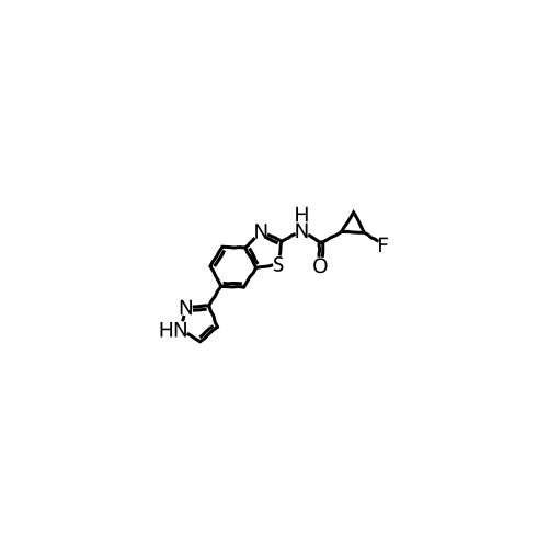 O=C(Nc1nc2ccc(-c3cc[nH]n3)cc2s1)C1CC1F